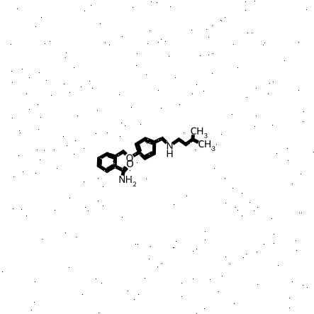 CC(C)CCNCc1ccc(OCc2ccccc2C(N)=O)cc1